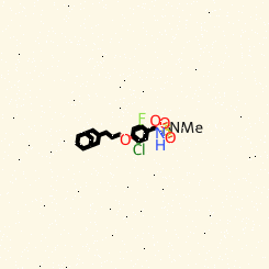 CNS(=O)(=O)NC(=O)c1cc(Cl)c(OCCCC2CC3CCCC(C2)C3)cc1F